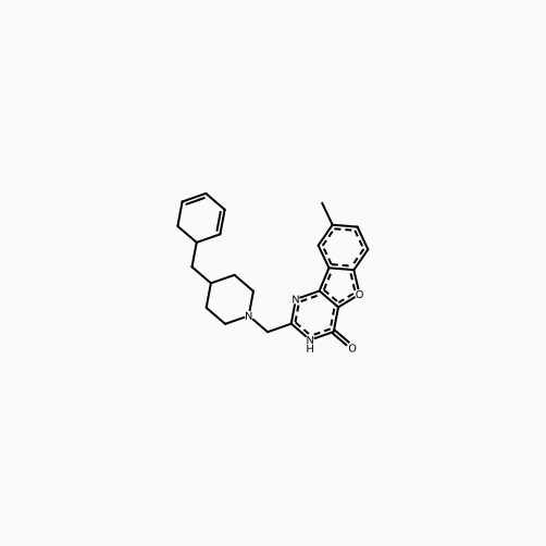 Cc1ccc2oc3c(=O)[nH]c(CN4CCC(CC5C=CC=CC5)CC4)nc3c2c1